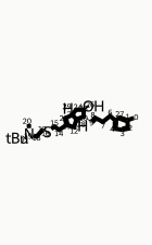 Cc1cccc(CC/C=C/[C@@H]2[C@H]3CC(CCSCCN(C)C(C)(C)C)=C[C@H]3C[C@H]2O)c1